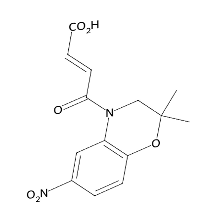 CC1(C)CN(C(=O)/C=C/C(=O)O)c2cc([N+](=O)[O-])ccc2O1